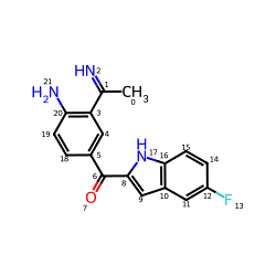 CC(=N)c1cc(C(=O)c2cc3cc(F)ccc3[nH]2)ccc1N